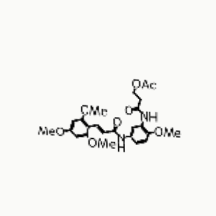 COc1cc(OC)c(C=CC(=O)Nc2ccc(OC)c(NC(=O)CCOC(C)=O)c2)c(OC)c1